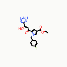 CCOC(=O)c1cc(C(=O)C=C(O)c2nn[nH]n2)n(Cc2ccc(F)cc2)c1